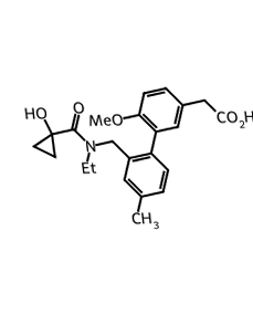 CCN(Cc1cc(C)ccc1-c1cc(CC(=O)O)ccc1OC)C(=O)C1(O)CC1